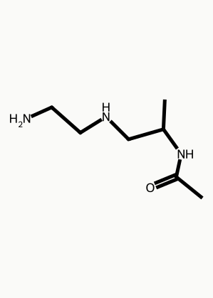 CC(=O)NC(C)CNCCN